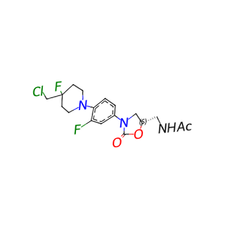 CC(=O)NC[C@H]1CN(c2ccc(N3CCC(F)(CCl)CC3)c(F)c2)C(=O)O1